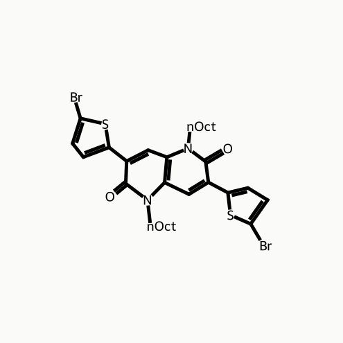 CCCCCCCCn1c(=O)c(-c2ccc(Br)s2)cc2c1cc(-c1ccc(Br)s1)c(=O)n2CCCCCCCC